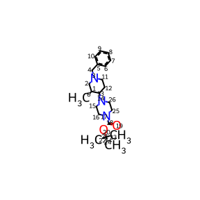 CC1CN(Cc2ccccc2)CCC1N1CCN(C(=O)OC(C)(C)C)CC1